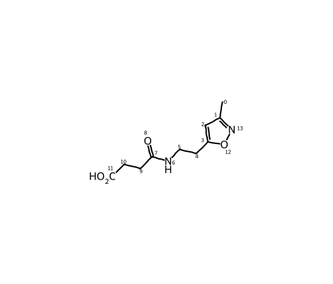 Cc1cc(CCNC(=O)CCC(=O)O)on1